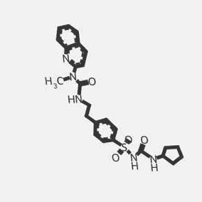 CN(C(=O)NCCc1ccc(S(=O)(=O)NC(=O)NC2CCCC2)cc1)c1ccc2ccccc2n1